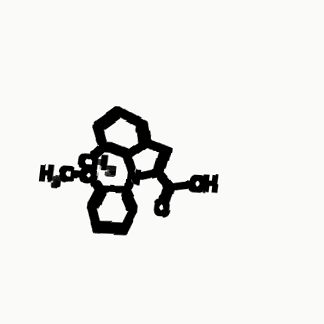 COc1ccccc1-n1c(C(=O)O)cc2cccc(C)c21